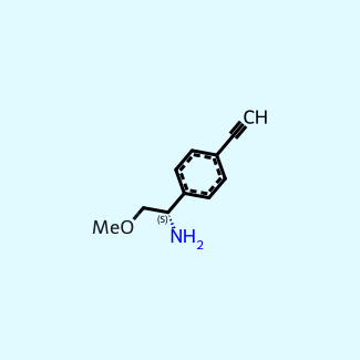 C#Cc1ccc([C@H](N)COC)cc1